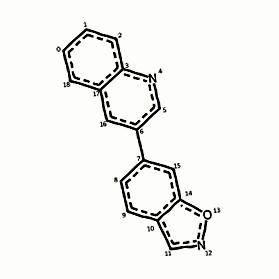 c1ccc2ncc(-c3ccc4cnoc4c3)cc2c1